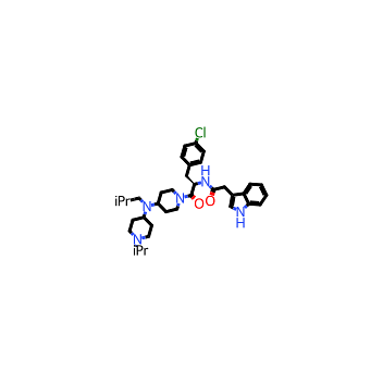 CC(C)CN(C1CCN(C(=O)[C@@H](Cc2ccc(Cl)cc2)NC(=O)Cc2c[nH]c3ccccc23)CC1)C1CCN(C(C)C)CC1